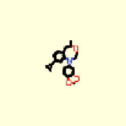 CC1Cc2ccc(C3CC3)cc2N(c2ccc3c(c2)OCO3)CCO1